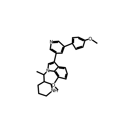 COc1ccc(-c2cncc(-c3cn(C(C)C4CCCNC4)c4c(OC)cccc34)c2)cc1